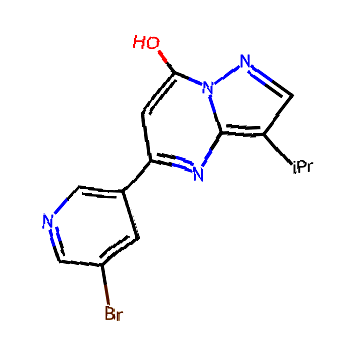 CC(C)c1cnn2c(O)cc(-c3cncc(Br)c3)nc12